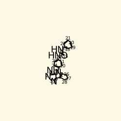 Nc1ncnc2c3c(n(-c4ccc(NC(=O)Nc5ccccc5)cc4)c12)CCC3